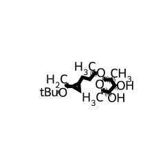 C=C(OC(C)(C)C)C1CC1CC[C@@H](C)O[C@@H]1O[C@@H](C)[C@H](O)[C@@H](O)[C@H]1C